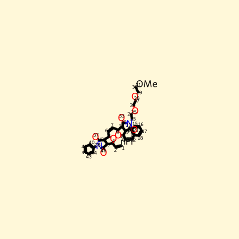 CCC/C=C\C1OC(/C=C\C2OC(/C=C\c3ccccc3)C3C(=O)N(CCOCCOCCOC)C(=O)C23)C2C(=O)N(c3ccccc3)C(=O)C12